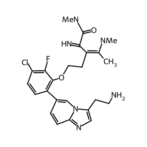 CNC(=O)C(=N)/C(CCOc1c(-c2ccc3ncc(CCN)n3c2)ccc(Cl)c1F)=C(/C)NC